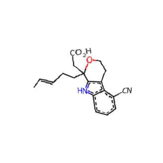 CC=CCCC1(CC(=O)O)OCCc2c1[nH]c1cccc(C#N)c21